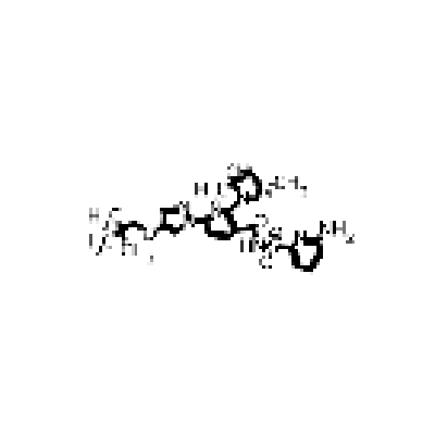 C[C@@H]1CN(c2nc(-n3cc(OCC(C)(C)C)cn3)ccc2C(=O)NS(=O)(=O)c2cccc(N)n2)C(C)(C)C1